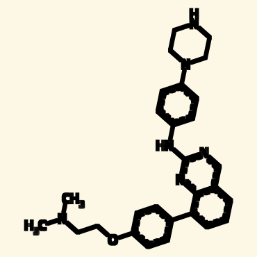 CN(C)CCOc1ccc(-c2cccc3cnc(Nc4ccc(N5CCNCC5)cc4)nc23)cc1